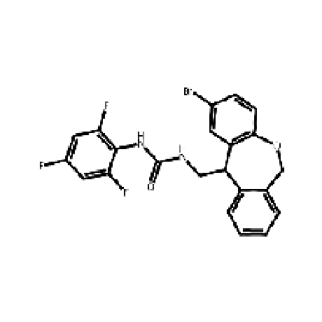 O=C(NCC1c2ccccc2COc2ccc(Br)cc21)Nc1c(F)cc(F)cc1F